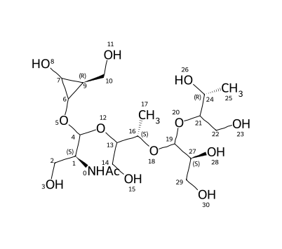 CC(=O)N[C@@H](CO)C(OC1C(O)[C@H]1CO)OC(CO)[C@H](C)OC(OC(CO)[C@@H](C)O)[C@@H](O)CO